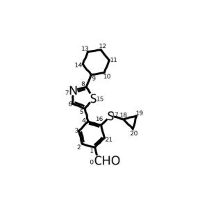 O=Cc1ccc(-c2cnc(C3CCCCC3)s2)c(SC2CC2)c1